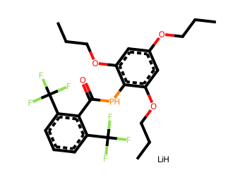 CCCOc1cc(OCCC)c(PC(=O)c2c(C(F)(F)F)cccc2C(F)(F)F)c(OCCC)c1.[LiH]